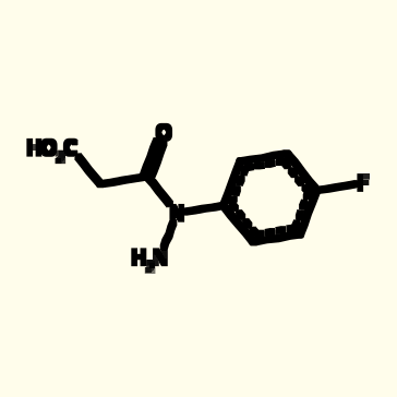 NN(C(=O)CC(=O)O)c1ccc(F)cc1